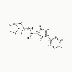 O=C(NC1CC2CCN(C2)C1)c1ncc(-c2ccccc2)o1